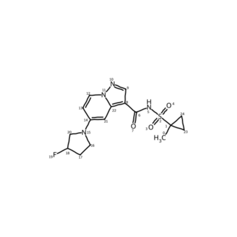 CC1(S(=O)(=O)NC(=O)c2cnn3ccc(N4CCC(F)C4)cc23)CC1